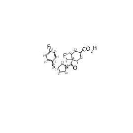 O=C(O)C1CCC(CF)(C(=O)N2CC[C@H](Sc3ccc(F)cc3)C2)CC1